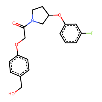 O=C(COc1ccc(CO)cc1)N1CCC(Oc2cccc(F)c2)C1